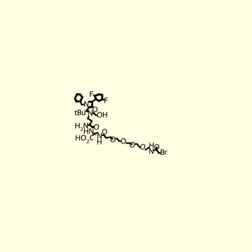 CC(C)(C)[C@H](c1cc(-c2cc(F)ccc2F)cn1Cc1ccccc1)N(CC[C@H](N)C(=O)N[C@H](CNC(=O)CCOCCOCCOCCOCCNC(=O)CBr)C(=O)O)C(=O)CO